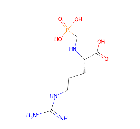 N=C(N)NCCC[C@H](NCP(=O)(O)O)C(=O)O